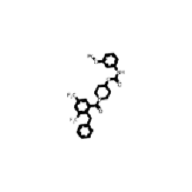 CC(C)Oc1cccc(NC(=O)OC2CCN(C(=O)c3cc(C(F)(F)F)cc(C(F)(F)F)c3Cc3ccccc3)CC2)c1